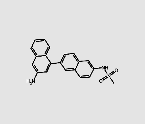 CS(=O)(=O)Nc1ccc2cc(-c3cc(N)cc4ccccc34)ccc2c1